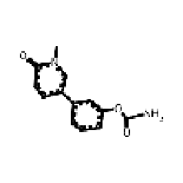 Cn1cc(-c2cccc(OC(N)=O)c2)ccc1=O